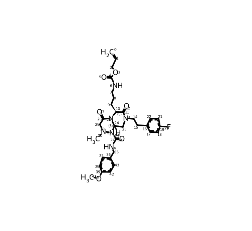 C=CCOC(=O)NCCC[C@H]1C(=O)N(CCc2ccc(F)cc2)C[C@H]2N1C(=O)CN(C)N2C(=O)NCc1ccc(OC)cc1